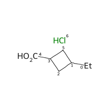 CCC1CC(C(=O)O)C1.Cl